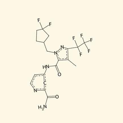 Cc1c(C(F)(F)C(F)(F)F)nn(CC2CCC(F)(F)C2)c1C(=O)Nc1ccnc(C(N)=O)c1